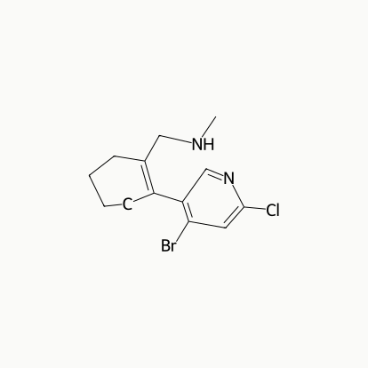 CNCC1=C(c2cnc(Cl)cc2Br)CCCC1